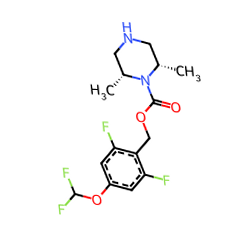 C[C@@H]1CNC[C@H](C)N1C(=O)OCc1c(F)cc(OC(F)F)cc1F